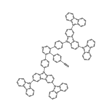 N#Cc1ccc(-c2c(-c3ccc(-n4c5ccc(-n6c7ccccc7c7ccccc76)cc5c5cc(-n6c7ccccc7c7ccccc76)ccc54)cc3)cncc2-c2ccc(-n3c4ccc(-n5c6ccccc6c6ccccc65)cc4c4cc(-n5c6ccccc6c6ccccc65)ccc43)cc2)cc1